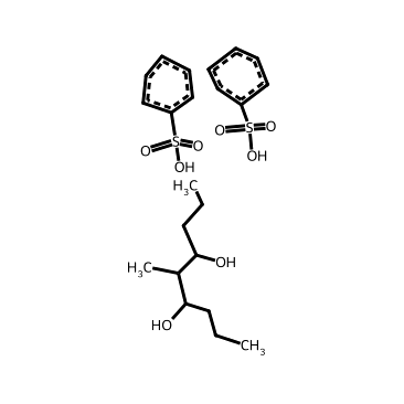 CCCC(O)C(C)C(O)CCC.O=S(=O)(O)c1ccccc1.O=S(=O)(O)c1ccccc1